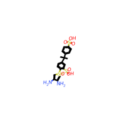 CC(C)(c1ccc(S(=O)(=O)O)cc1)c1ccc([SH]2C=C(N)C(N)=C2)c(S(=O)(=O)O)c1